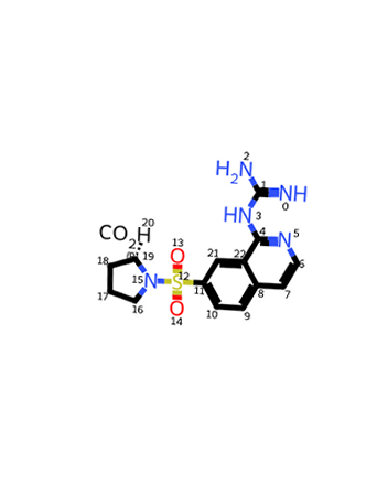 N=C(N)Nc1nccc2ccc(S(=O)(=O)N3CCC[C@@H]3C(=O)O)cc12